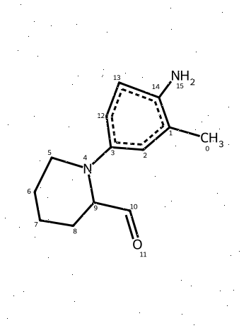 Cc1cc(N2CCCCC2C=O)ccc1N